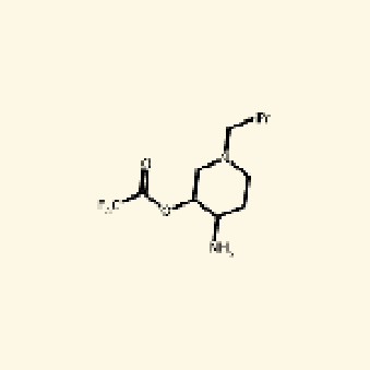 CC(C)CN1CCC(N)C(OC(=O)C(F)(F)F)C1